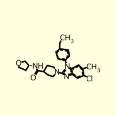 CCc1ccc(-n2c(N3CCC(C(=O)N[C@@H]4CCOC4)CC3)nc3cc(Cl)c(C)cc32)cc1